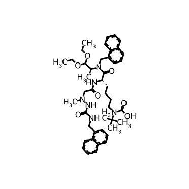 CCOC(OCC)[C@H](C)N(Cc1cccc2ccccc12)C(=O)[C@H](CCCCN(C(=O)O)C(C)(C)C)NC(=O)CN(C)NC(=O)NCc1cccc2ccccc12